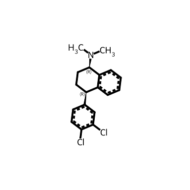 CN(C)[C@@H]1CC[C@H](c2ccc(Cl)c(Cl)c2)c2ccccc21